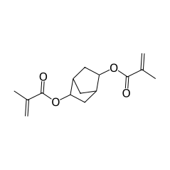 C=C(C)C(=O)OC1CC2CC1CC2OC(=O)C(=C)C